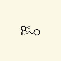 CCC1=CCCC(Cl)=C1OCCN1CCCCCC1